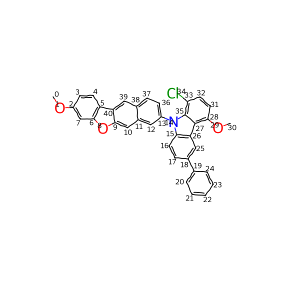 COc1ccc2c(c1)oc1cc3cc(-n4c5ccc(-c6ccccc6)cc5c5c(OC)ccc(Cl)c54)ccc3cc12